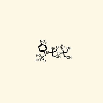 CCC(N)(CO)CO.CCC(N)(CO)CO.O=[N+]([O-])c1ccc(OP(=O)(O)O)cc1